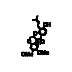 COc1cc2c(cc1OC)[C@@H]1C(=O)c3ccc(O)c(CC=C(C)C)c3OC1CO2